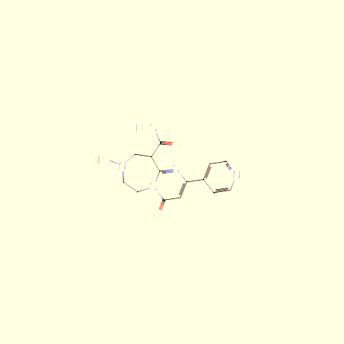 CC(C)N1CCn2c(nc(-c3ccncc3)cc2=O)C(C(N)=O)C1